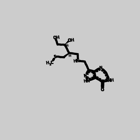 CSC[C@H](CNCc1n[nH]c2c(=O)[nH]cnc12)[C@@H](O)CO